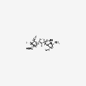 CC[C@H]1O[C@@H](N)[C@@H](O)C1OP(=O)(O)NC[C@H]1O[C@@H](N=N)[C@@H](O)C1OC